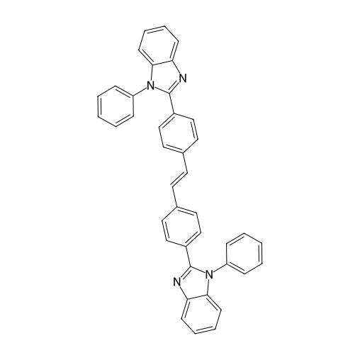 C(=Cc1ccc(-c2nc3ccccc3n2-c2ccccc2)cc1)c1ccc(-c2nc3ccccc3n2-c2ccccc2)cc1